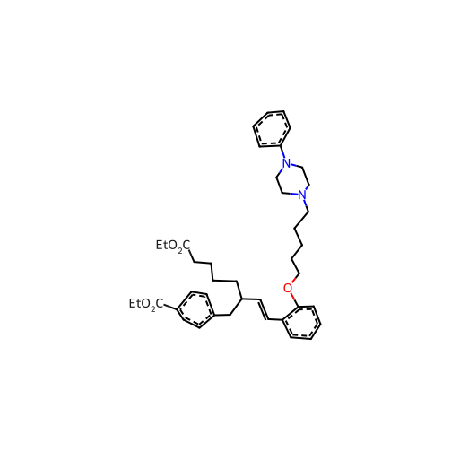 CCOC(=O)CCCCC(/C=C/c1ccccc1OCCCCCN1CCN(c2ccccc2)CC1)Cc1ccc(C(=O)OCC)cc1